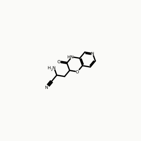 N#CC(N)CC1Oc2ccncc2NC1=O